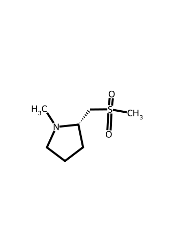 CN1CCC[C@H]1CS(C)(=O)=O